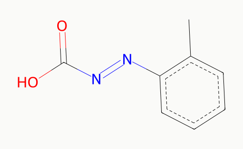 Cc1ccccc1/N=N/C(=O)O